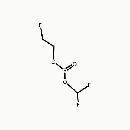 O=S(OCCF)OC(F)F